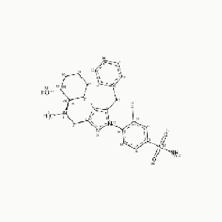 CN(Cc1nc(Cc2ccccc2)n(-c2ccc(S(N)(=O)=O)cc2F)n1)[C@@H]1CCCC[C@H]1O